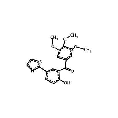 COc1cc(C(=O)c2cc(-c3nccs3)ccc2O)cc(OC)c1OC